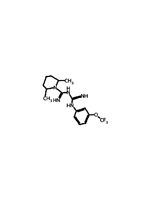 CC1CCCC(C)N1C(=N)NC(=N)Nc1cccc(OC(F)(F)F)c1